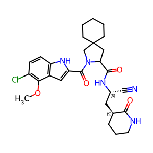 COc1c(Cl)ccc2[nH]c(C(=O)N3CC4(CCCCC4)CC3C(=O)N[C@H](C#N)C[C@@H]3CCCNC3=O)cc12